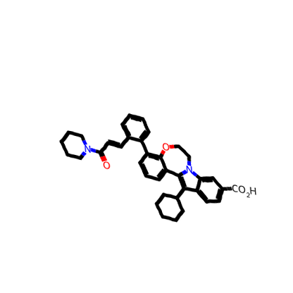 O=C(O)c1ccc2c(C3CCCCC3)c3n(c2c1)CCOc1c(-c2ccccc2C=CC(=O)N2CCCCC2)cccc1-3